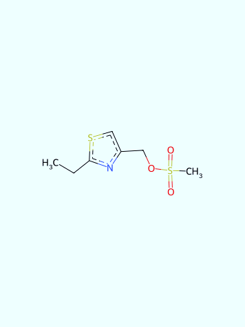 CCc1nc(COS(C)(=O)=O)cs1